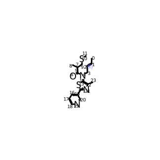 C/C=C/CN(C(=O)C(C)CSC)c1sc(-c2cccnc2)nc1C